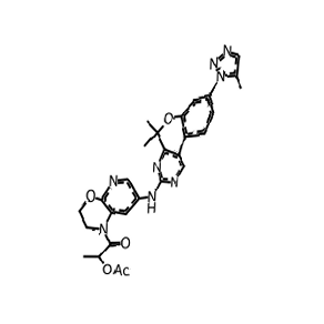 CC(=O)OC(C)C(=O)N1CCOc2ncc(Nc3ncc4c(n3)C(C)(C)Oc3cc(-n5nncc5C)ccc3-4)cc21